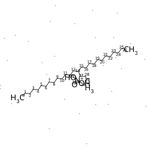 CCCCCCCCCCCCCCC(CCCCCCCCCCCC)C(CC)[N+]([O-])(O)O